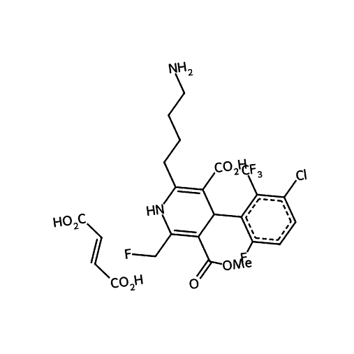 COC(=O)C1=C(CF)NC(CCCCN)=C(C(=O)O)C1c1c(F)ccc(Cl)c1C(F)(F)F.O=C(O)C=CC(=O)O